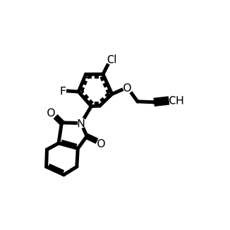 C#CCOc1cc(N2C(=O)C3=C(CC=CC3)C2=O)c(F)cc1Cl